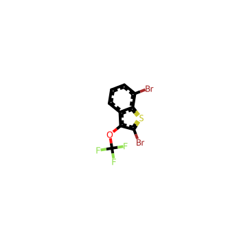 FC(F)(F)Oc1c(Br)sc2c(Br)cccc12